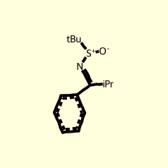 CC(C)C(=N[S+]([O-])C(C)(C)C)c1ccccc1